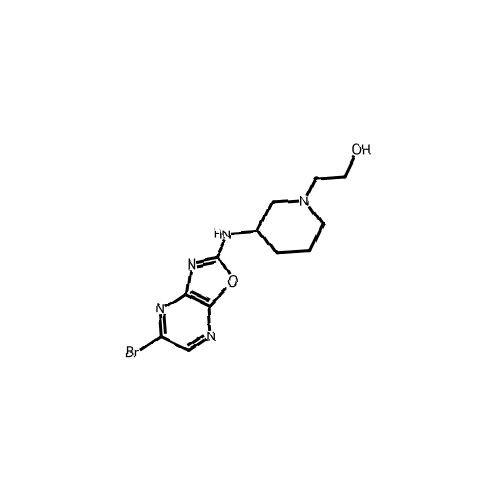 OCCN1CCCC(Nc2nc3nc(Br)cnc3o2)C1